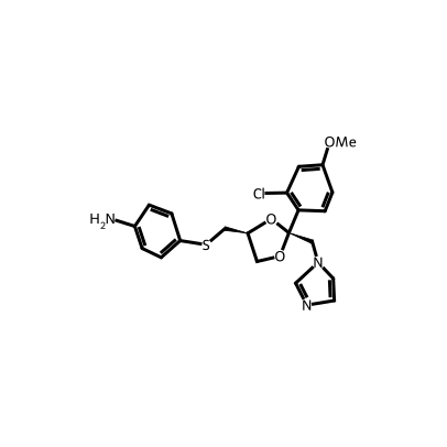 COc1ccc([C@]2(Cn3ccnc3)OC[C@@H](CSc3ccc(N)cc3)O2)c(Cl)c1